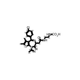 Cc1sc2c(c1C)C(c1ccc(Cl)cc1)=NC(CC(=O)NCCNC(=O)O)c1nnc(C)n1-2